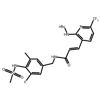 CCCCNc1nc(C(F)(F)F)ccc1/C=C/C(=O)NCc1cc(C)c(NS(C)(=O)=O)c(F)c1